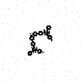 Fc1ccc(-c2nc(-c3ccccc3)nc(-c3ccc(-c4ccc5oc6ccc(-c7ccc(-c8nc(-c9ccccc9)nc(-c9ccc(F)cc9)n8)cc7)cc6c5c4)cc3)n2)cc1